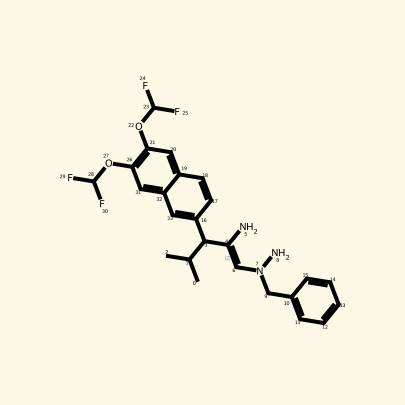 CC(C)C(/C(N)=C/N(N)Cc1ccccc1)c1ccc2cc(OC(F)F)c(OC(F)F)cc2c1